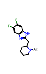 CC(=O)N1CCCCC1Cc1nc2cc(F)c(F)cc2[nH]1